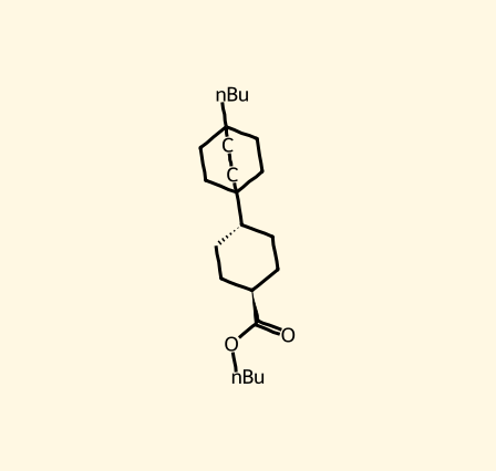 CCCCOC(=O)[C@H]1CC[C@H](C23CCC(CCCC)(CC2)CC3)CC1